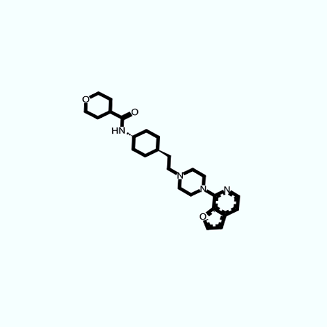 O=C(N[C@H]1CC[C@H](CCN2CCN(c3nccc4ccoc34)CC2)CC1)C1CCOCC1